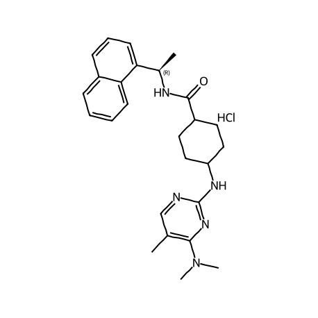 Cc1cnc(NC2CCC(C(=O)N[C@H](C)c3cccc4ccccc34)CC2)nc1N(C)C.Cl